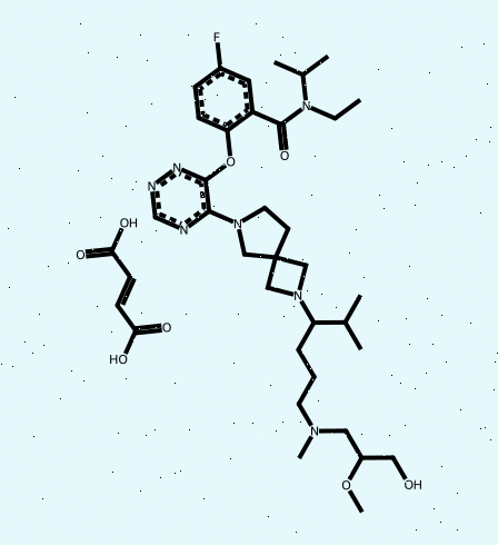 CCN(C(=O)c1cc(F)ccc1Oc1nncnc1N1CCC2(C1)CN(C(CCCN(C)CC(CO)OC)C(C)C)C2)C(C)C.O=C(O)/C=C/C(=O)O